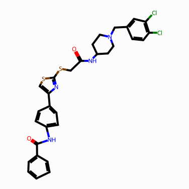 O=C(CSc1nc(-c2ccc(NC(=O)c3ccccc3)cc2)cs1)NC1CCN(Cc2ccc(Cl)c(Cl)c2)CC1